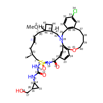 CO[C@H]1/C=C/C[C@H](C)CS(=O)(NC(=O)N[C@H]2C[C@H]2CO)=NC(=O)c2ccc3c(c2)N(Cc2ccc(Cl)cc2CCCCO3)C[C@@H]2CC[C@H]21